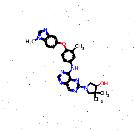 Cc1cc(Nc2ncnc3cnc(N4C[C@@H](O)C(C)(C)C4)nc23)ccc1Oc1ccc2c(c1)ncn2C